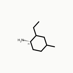 CCC1CC(C)CC[C@@H]1N